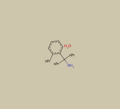 CCCc1ccccc1C(N)(CCC)CCC.O